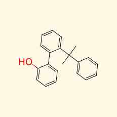 CC(C)(c1ccccc1)c1ccccc1-c1ccccc1O